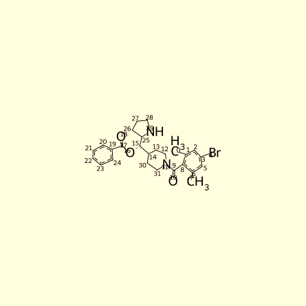 Cc1cc(Br)cc(C)c1C(=O)N1CCC([C@H](OC(=O)c2ccccc2)C2CCCN2)CC1